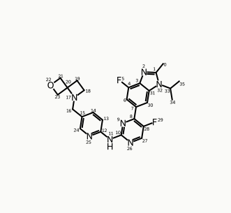 Cc1nc2c(F)cc(-c3nc(Nc4ccc(CN5CCC56COC6)cn4)ncc3F)cc2n1C(C)C